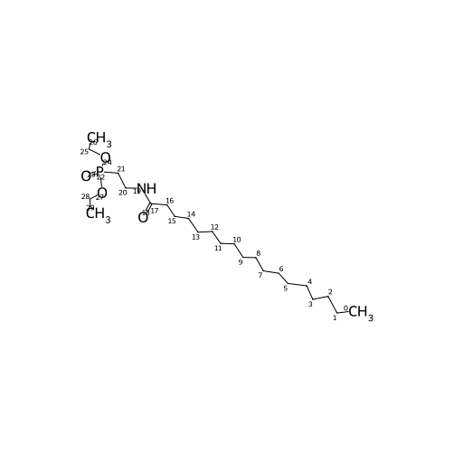 CCCCCCCCCCCCCCCCCC(=O)NCCP(=O)(OCC)OCC